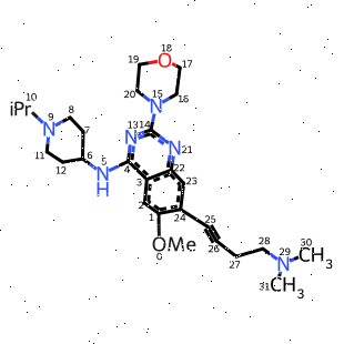 COc1cc2c(NC3CCN(C(C)C)CC3)nc(N3CCOCC3)nc2cc1C#CCCN(C)C